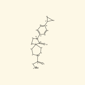 CC(C)(C)CC(=O)N1CCC2(CC1)CCN(c1ccc(C3CC3)cc1)C2=O